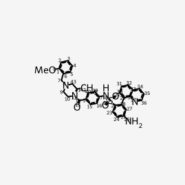 COc1ccccc1CN1CCN(C(=O)c2ccc(NS(=O)(=O)c3ccc(N)cc3-c3cccc4cccnc34)cc2)C(C)C1